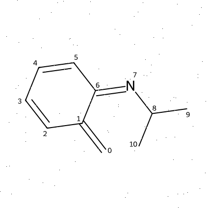 C=C1C=CC=C/C1=N/C(C)C